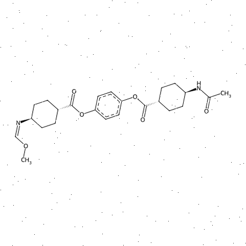 CO/C=N\[C@H]1CC[C@H](C(=O)Oc2ccc(OC(=O)[C@H]3CC[C@H](NC(C)=O)CC3)cc2)CC1